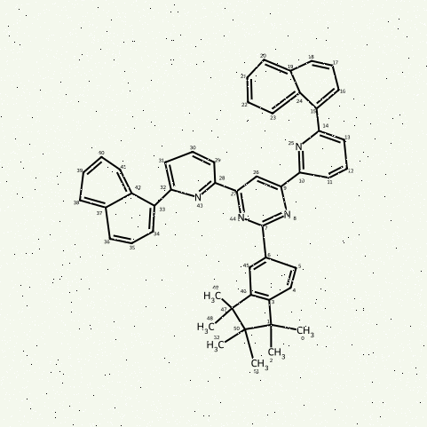 CC1(C)c2ccc(-c3nc(-c4cccc(-c5cccc6ccccc56)n4)cc(-c4cccc(-c5cccc6ccccc56)n4)n3)cc2C(C)(C)C1(C)C